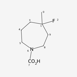 CC1(F)CCCN(C(=O)O)CC1